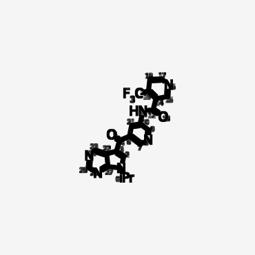 CC(C)n1cc(C(=O)c2cncc(NC(=O)c3cnccc3C(F)(F)F)c2)c2cncnc21